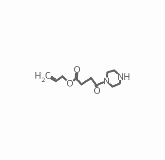 C=CCOC(=O)CCC(=O)N1CCNCC1